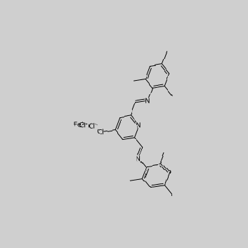 Cc1cc(C)c(N=Cc2cc(Cl)cc(C=Nc3c(C)cc(C)cc3C)n2)c(C)c1.[Cl-].[Cl-].[Fe+2]